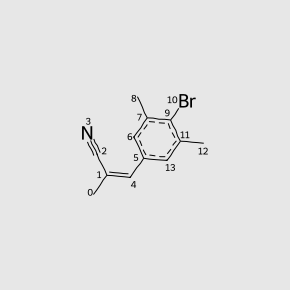 CC(C#N)=Cc1cc(C)c(Br)c(C)c1